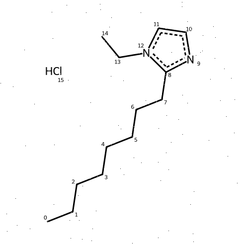 CCCCCCCCc1nccn1CC.Cl